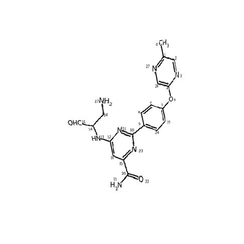 Cc1cnc(Oc2ccc(-c3nc(NC(C=O)CN)cc(C(N)=O)n3)cc2)cn1